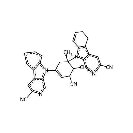 CC1C(C#N)C=C(n2c3ccccc3c3cc(C#N)ncc32)C[C@]1(C)n1c2c(c3cc(C#N)ncc31)CCC=C2